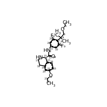 CCOCC(C)(C)c1c(F)cc(NC(=O)[C@@H]2NCCc3cc(OCC)ccc32)cc1F